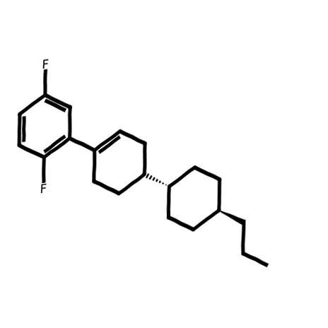 CCC[C@H]1CC[C@H](C2CC=C(c3cc(F)ccc3F)CC2)CC1